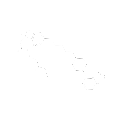 CC12CC(=O)N(COC(=O)CN)c3cc(OCCCCN4CCN(c5cccc6sccc56)CC4)cc(c31)C2